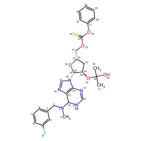 CN(Cc1cccc(F)c1)C1NC=Nc2c1ncn2[C@@H]1O[C@H](COC(=S)Oc2ccccc2)C[C@H]1OC(C)(C)O